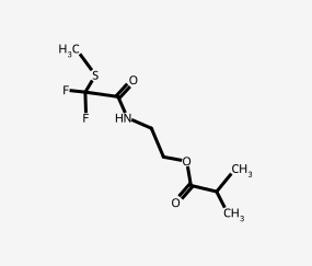 CSC(F)(F)C(=O)NCCOC(=O)C(C)C